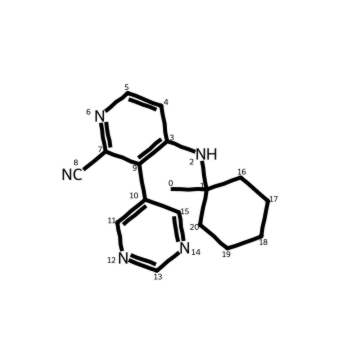 CC1(Nc2ccnc(C#N)c2-c2cncnc2)CCCCC1